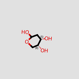 OC1C[C@H](O)[C@H](O)CO1